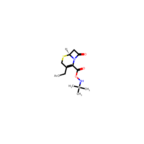 CC(=O)OCC1=C(C(=O)ON[Si](C)(C)C)N2C(=O)C[C@@H]2SC1